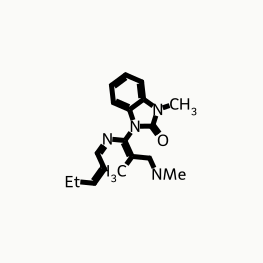 CC\C=C/C=N\C(=C(/C)CNC)n1c(=O)n(C)c2ccccc21